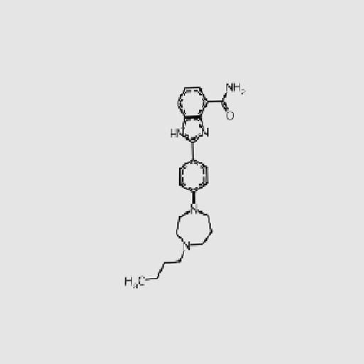 CCCCN1CCCN(c2ccc(-c3nc4c(C(N)=O)cccc4[nH]3)cc2)CC1